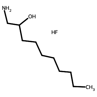 CCCCCCCCC(O)CN.F